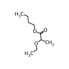 CCCCOC(=O)C(C)OCC